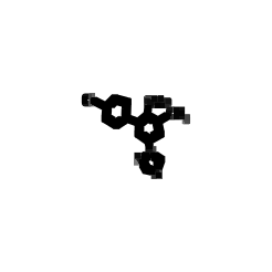 CSc1c(C)cc(-n2cncn2)cc1-c1ccc(Cl)cc1